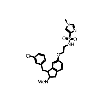 CNC1Cc2ccc(OCCNS(=O)(=O)c3cn(C)cn3)cc2C1Cc1cccc(Cl)c1